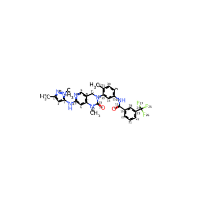 Cc1cc(Nc2cc3c(cn2)CN(c2cc(NC(=O)c4cccc(C(F)(F)F)c4)ccc2C)C(=O)N3C)n(C)n1